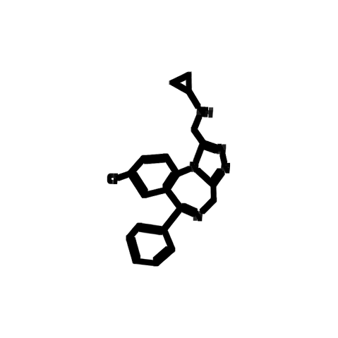 Clc1ccc2c(c1)C(c1ccccc1)=NCc1nnc(CNC3CC3)n1-2